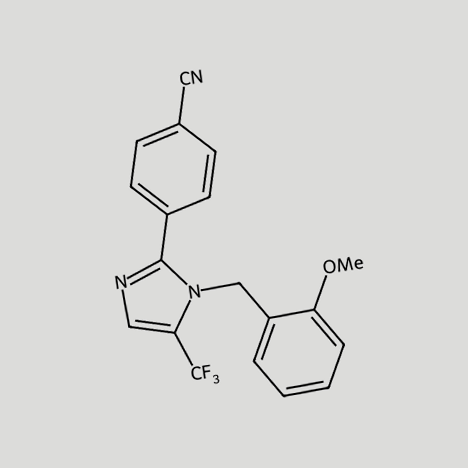 COc1ccccc1Cn1c(C(F)(F)F)cnc1-c1ccc(C#N)cc1